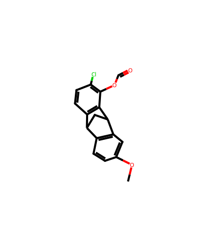 COc1ccc2c(c1)C1CC2c2ccc(Cl)c(OC=O)c21